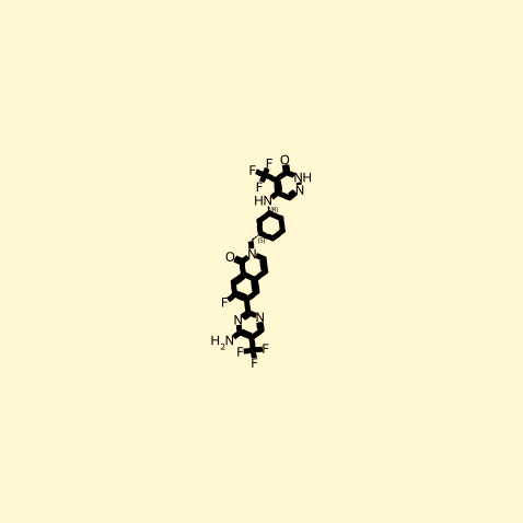 Nc1nc(-c2cc3ccn(C[C@H]4CCC[C@@H](Nc5cn[nH]c(=O)c5C(F)(F)F)C4)c(=O)c3cc2F)ncc1C(F)(F)F